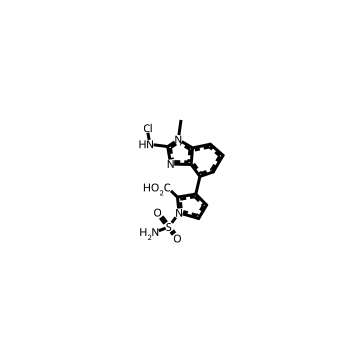 Cn1c(NCl)nc2c(-c3ccn(S(N)(=O)=O)c3C(=O)O)cccc21